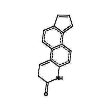 O=C1CC=c2c(ccc3c4c(ccc23)C=CC=4)N1